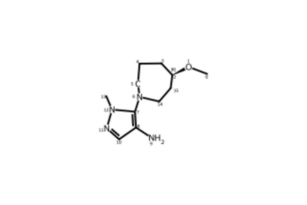 CO[C@@H]1CCCN(c2c(N)cnn2C)CC1